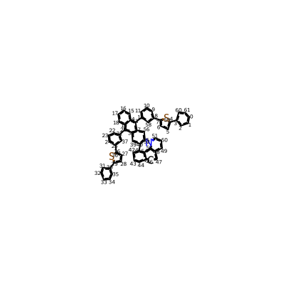 c1ccc(-c2ccc(-c3cccc(-c4c5ccccc5c(-c5cccc(-c6ccc(-c7ccccc7)s6)c5)c5cc(-c6cccc7ccc8cccnc8c67)ccc45)c3)s2)cc1